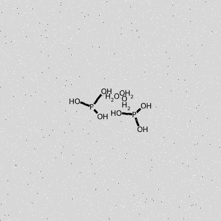 O.O.O.OP(O)O.OP(O)O